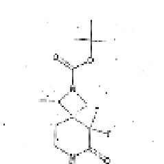 C[C@@H]1N(C(=O)OC(C)(C)C)C[C@]12CCNC(=O)C2(F)F